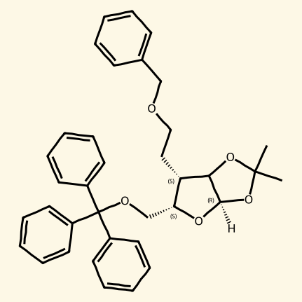 CC1(C)OC2[C@H](O[C@H](COC(c3ccccc3)(c3ccccc3)c3ccccc3)[C@@H]2CCOCc2ccccc2)O1